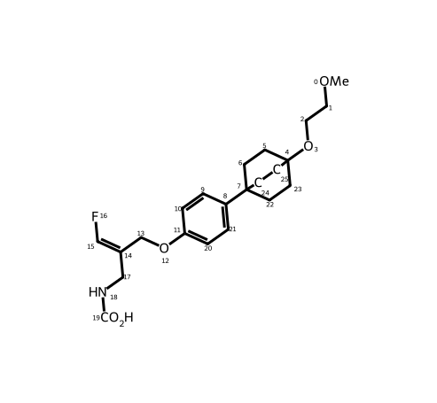 COCCOC12CCC(c3ccc(OC/C(=C\F)CNC(=O)O)cc3)(CC1)CC2